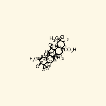 CC1(C)CC[C@]2(C(=O)O)CC[C@]3(C)[C@H](C(=O)C=C4[C@@]5(C)C=C(C(F)(F)F)C(=O)C6(CC6)[C@@H]5CC[C@]43C)[C@@H]2C1